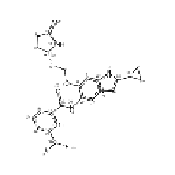 O=C1CC[C@@H](CCOc2cc3nc(C4CC4)cn3cc2NC(=O)c2cccc(C(F)F)n2)N1